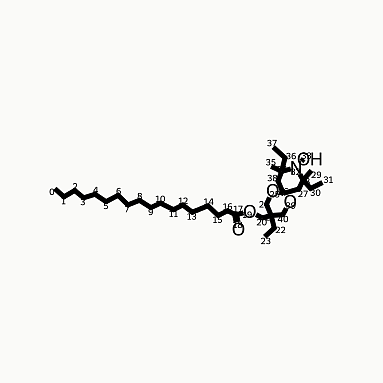 CCCCCCCCCCCCCCCCCC(=O)OCC1(CC)COC2(CC(C)(CC)N(O)C(C)(CC)C2)OC1